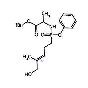 C/C(=C\CCP(=O)(NC(C)C(=O)OC(C)(C)C)Oc1ccccc1)CO